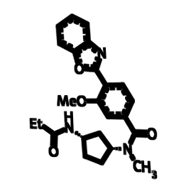 CCC(=O)N[C@H]1CC[C@@H](N(C)C(=O)c2ccc(-c3nc4ccccc4o3)c(OC)c2)C1